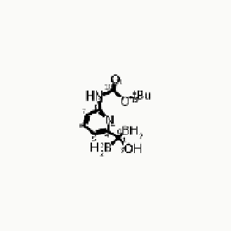 BC(B)(O)c1cccc(NC(=O)OC(C)(C)C)n1